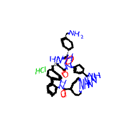 Cl.NC[C@H]1CC[C@H](C(=O)N[C@@H](Cc2ccc(-c3ccccc3NC(=O)C3CCNCC3)cc2)C(=O)Nc2ccc(-c3nnn[nH]3)cc2)CC1